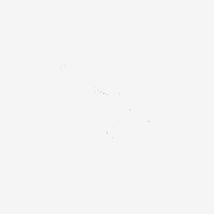 CC1[C@H](S)OC(CO)[C@H](O)[C@@H]1O